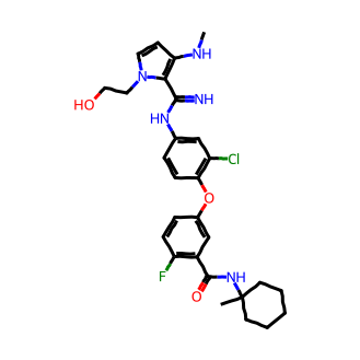 CNc1ccn(CCO)c1C(=N)Nc1ccc(Oc2ccc(F)c(C(=O)NC3(C)CCCCC3)c2)c(Cl)c1